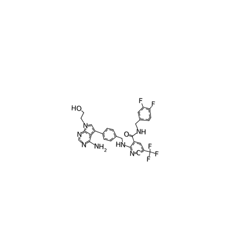 Nc1ncnc2c1c(-c1ccc(CNc3ncc(C(F)(F)F)cc3C(=O)NCc3ccc(F)c(F)c3)cc1)cn2CCO